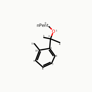 CCCCCOC(C)(C)c1ccccc1C